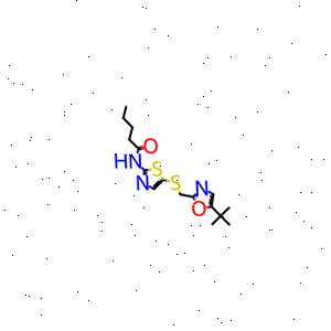 CCCCC(=O)Nc1ncc(SCc2ncc(C(C)(C)C)o2)s1